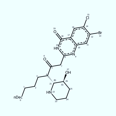 CCCCCCCCCCCCCC(C(=O)Cc1nc2cc(Br)c(Cl)cc2c(=O)[nH]1)[C@H]1NCCC[C@@H]1O